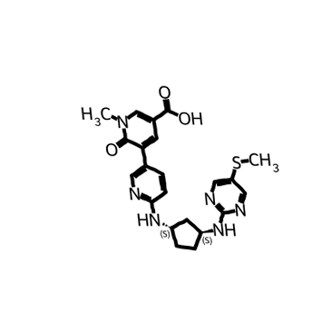 CSc1cnc(N[C@H]2CC[C@H](Nc3ccc(-c4cc(C(=O)O)cn(C)c4=O)cn3)C2)nc1